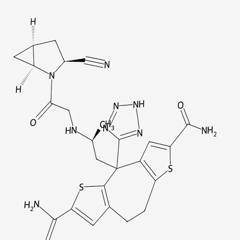 C[C@@H](CC1(c2nn[nH]n2)c2cc(C(N)=O)sc2CCc2cc(C(N)=O)sc21)NCC(=O)N1[C@H](C#N)C[C@@H]2C[C@@H]21